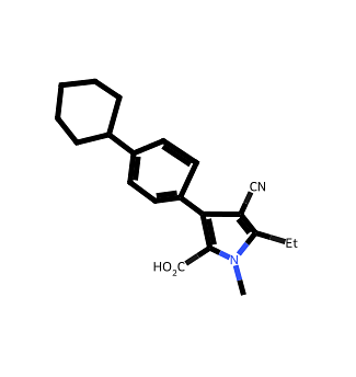 CCc1c(C#N)c(-c2ccc(C3CCCCC3)cc2)c(C(=O)O)n1C